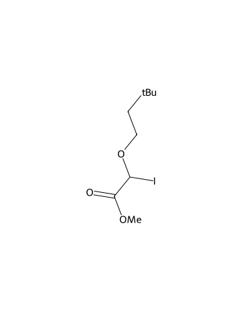 COC(=O)C(I)OCCC(C)(C)C